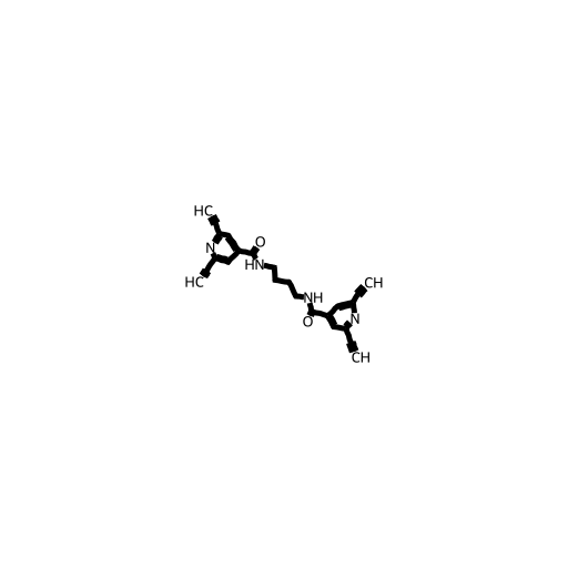 C#Cc1cc(C(=O)NCCCCNC(=O)c2cc(C#C)nc(C#C)c2)cc(C#C)n1